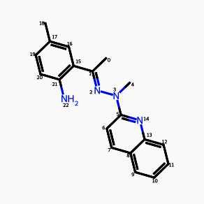 C/C(=N\N(C)c1ccc2ccccc2n1)c1cc(C)ccc1N